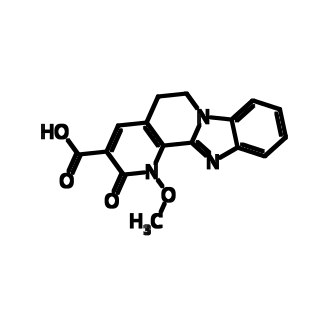 COn1c2c(cc(C(=O)O)c1=O)CCn1c-2nc2ccccc21